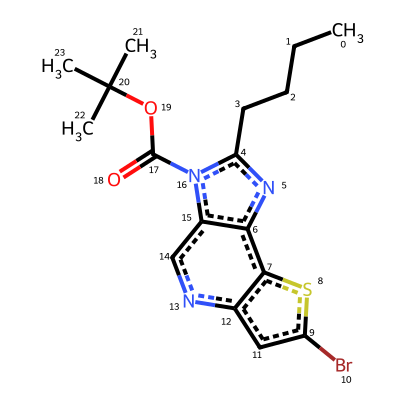 CCCCc1nc2c3sc(Br)cc3ncc2n1C(=O)OC(C)(C)C